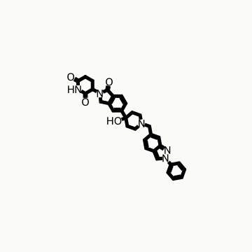 O=C1CCC(N2Cc3cc(C4(O)CCN(Cc5ccc6cn(-c7ccccc7)nc6c5)CC4)ccc3C2=O)C(=O)N1